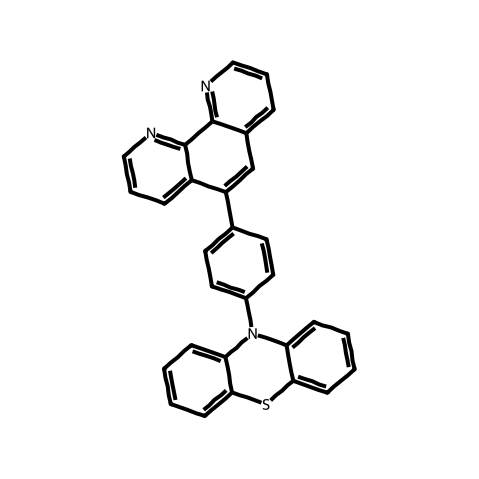 c1ccc2c(c1)Sc1ccccc1N2c1ccc(-c2cc3cccnc3c3ncccc23)cc1